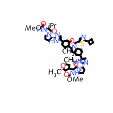 COC(=O)N[C@H](C(=O)N1CCC[C@H]1c1ncc(-c2cc(C)c3c(c2)OC(c2cnc(C4CCC4)s2)n2c-3cc3cc(-c4cnc([C@@H]5CCCN5C(=O)[C@H](NC(=O)OC)C5C[C@@H](C)O[C@@H](C)C5)[nH]4)ccc32)[nH]1)C(C)C